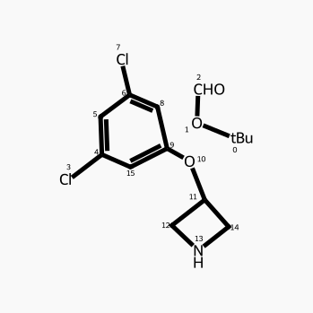 CC(C)(C)OC=O.Clc1cc(Cl)cc(OC2CNC2)c1